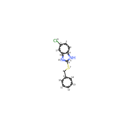 Clc1ccc2[nH]c(SCc3ccccc3)nc2c1